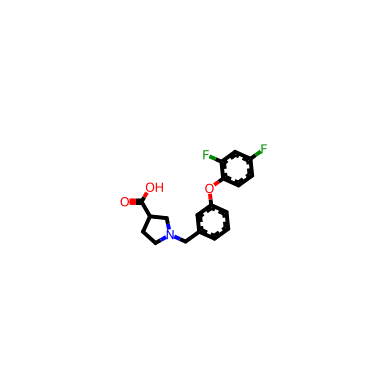 O=C(O)C1CCN(Cc2cccc(Oc3ccc(F)cc3F)c2)C1